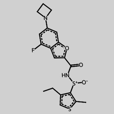 CCc1csc(C)c1[S+]([O-])NC(=O)c1cc2c(F)cc(N3CCC3)cc2o1